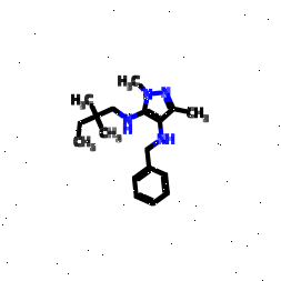 CCC(C)(C)CNc1c(NCc2ccccc2)c(C)nn1C